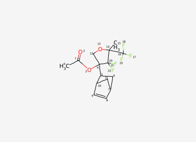 CC(=O)OC1(C2CC3C=CC2C3)COC(C)(C(F)(F)F)C1(F)F